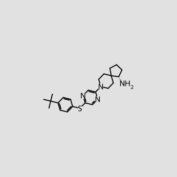 CC(C)(C)c1ccc(Sc2cnc(N3CCC4(CCC[C@@H]4N)CC3)cn2)cc1